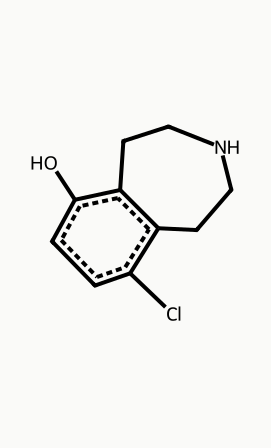 Oc1ccc(Cl)c2c1CCNCC2